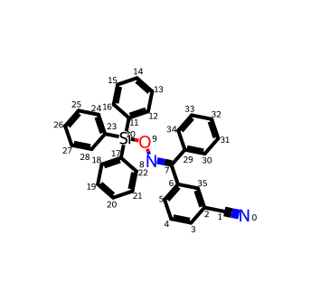 N#Cc1cccc(C(=NO[Si](c2ccccc2)(c2ccccc2)c2ccccc2)c2ccccc2)c1